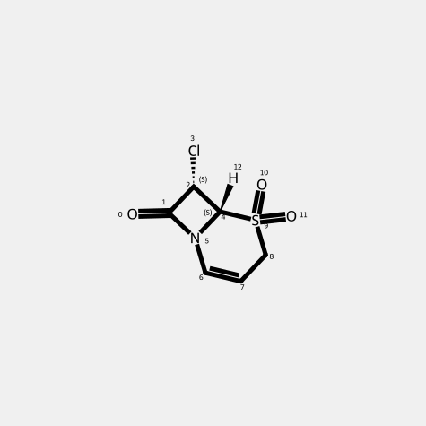 O=C1[C@H](Cl)[C@H]2N1C=CCS2(=O)=O